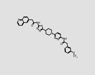 O=C(Cc1cccc(OC(F)(F)F)c1)Nc1ccc(N2CCC(c3nnc(NC(=O)Cc4ccc5ncccc5c4)s3)CC2)nn1